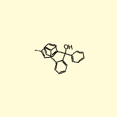 CC1=CC(c2ccccc2C(O)(c2ccccc2)c2ccccc2)C(C)=C1